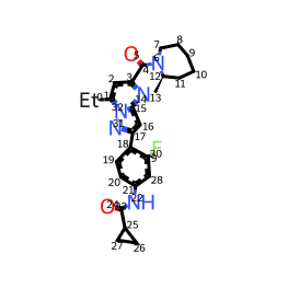 CCc1cc(C(=O)N2CCCCC[C@H]2C)nc2cc(-c3ccc(NC(=O)C4CC4)cc3F)nn12